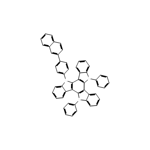 c1ccc(-n2c3ccccc3c3c2c2c4ccccc4n(-c4ccc(-c5ccc6ccccc6c5)cc4)c2c2c4ccccc4n(-c4ccccc4)c32)cc1